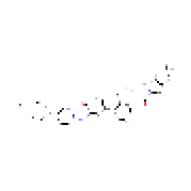 CC(C)N1CCN(c2ccc(Nc3cc(-c4cc(F)cc(N5CCn6c(cc7c6CC(C)(C)C7)C5=O)c4CO)cn(C)c3=O)nc2)CC1